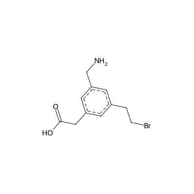 NCc1cc(CCBr)cc(CC(=O)O)c1